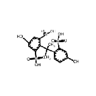 CC(C)(c1ccc(O)cc1S(=O)(=O)O)c1c(S(=O)(=O)O)cc(O)cc1S(=O)(=O)O